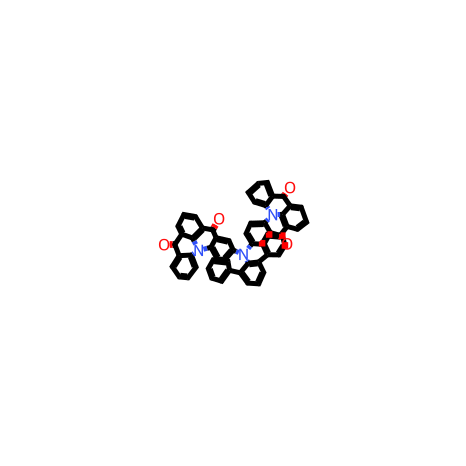 O=c1c2ccccc2n2c3ccc(N(c4ccc5c(c4)c(=O)c4cccc6c(=O)c7ccccc7n5c64)c4c(-c5ccccc5)cccc4-c4ccccc4)cc3c(=O)c3cccc1c32